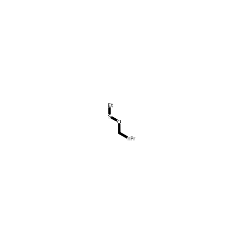 [CH2]CCCOSCC